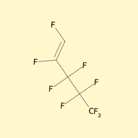 FC=C(F)C(F)(F)C(F)(F)C(F)(F)F